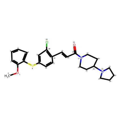 COc1ccccc1Sc1ccc(C=CC(=O)N2CCC(N3CCCC3)CC2)c(Cl)c1